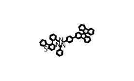 c1ccc(-c2nc(-c3ccc(-c4ccc5c(c4)-c4ccccc4C54c5ccccc5-c5ccccc54)cc3)nc(-c3ccccc3-c3cccc4sc5ccccc5c34)n2)cc1